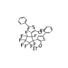 CCOc1sc(-c2ccccc2)cc1C1(F)C(F)(F)C(F)(F)C(F)(F)C1(F)c1cc(-c2ccccc2)sc1OCC